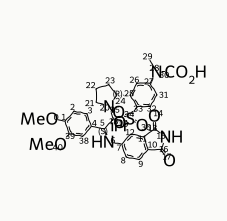 COc1ccc([C@H](Nc2ccc3c(c2)C(=O)NC3=O)C(=O)N2CCC[C@@H]2c2cc(N(C)C(=O)O)ccc2S(=O)(=O)C(C)C)cc1OC